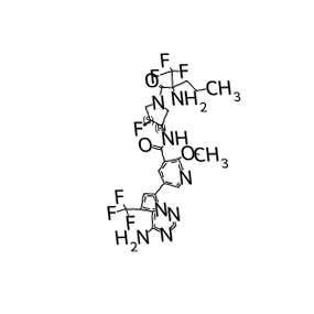 CCCC(N)(C(=O)N1C[C@H](F)[C@H](NC(=O)c2cc(-c3cc(C(F)(F)F)c4c(N)ncnn34)cnc2OC)C1)C(F)(F)F